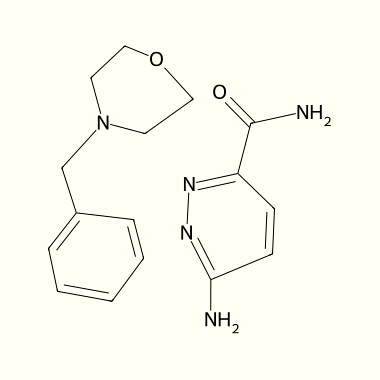 NC(=O)c1ccc(N)nn1.c1ccc(CN2CCOCC2)cc1